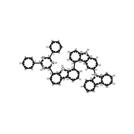 c1ccc(-c2nc(-c3ccccc3)nc(-c3cccc4c3oc3c(-c5cccc6sc7ccc(-n8c9ccccc9c9ccccc98)cc7c56)cccc34)n2)cc1